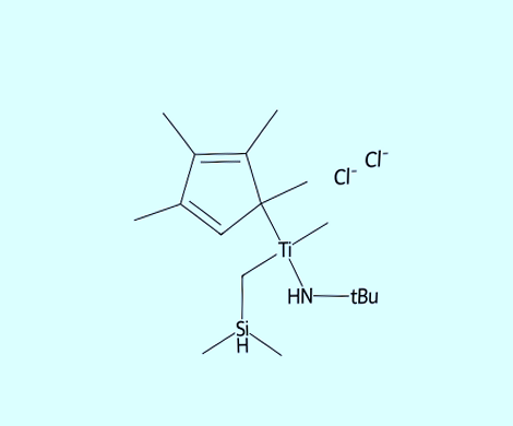 CC1=C[C](C)([Ti]([CH3])([CH2][SiH](C)C)[NH]C(C)(C)C)C(C)=C1C.[Cl-].[Cl-]